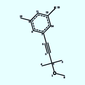 COC(C)(C)C#Cc1cc(C)cc(F)c1